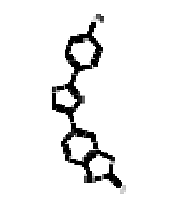 CCCc1ccc(-c2nc(-c3ccc4c(c3)CC(=O)N4)cs2)cc1